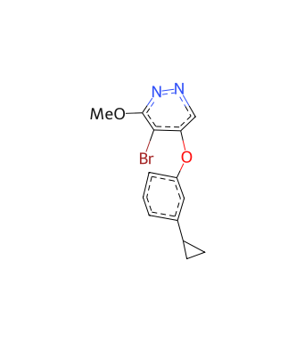 COc1nncc(Oc2cccc(C3CC3)c2)c1Br